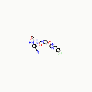 N#Cc1ccc(NC[C@@H]2CCO2)c(NC(=O)CN2CCC(Oc3ccnc(Cc4ccc(Cl)cc4)n3)CC2)c1